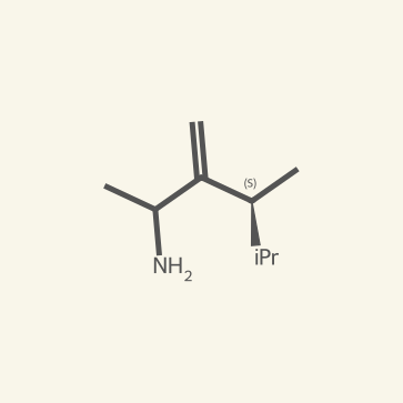 C=C(C(C)N)[C@@H](C)C(C)C